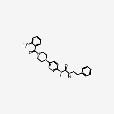 O=C(NCCc1ccccc1)Nc1ccc(N2CCN(C(=O)c3ccccc3C(F)(F)F)CC2)nn1